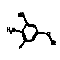 CCOc1cc(C)c(N)c(O)c1